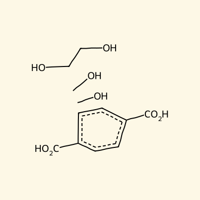 CO.CO.O=C(O)c1ccc(C(=O)O)cc1.OCCO